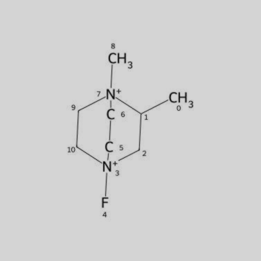 CC1C[N+]2(F)CC[N+]1(C)CC2